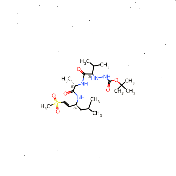 CC(C)C[C@@H](C=CS(C)(=O)=O)NC(=O)[C@H](C)NC(=O)[C@@H](NNC(=O)OC(C)(C)C)C(C)C